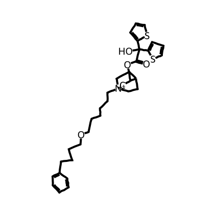 O=C(OC1C[N+]2(CCCCCCOCCCCc3ccccc3)CCC1CC2)C(O)(c1cccs1)c1cccs1